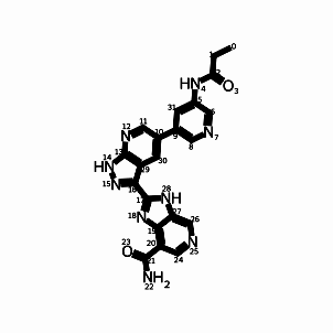 CCC(=O)Nc1cncc(-c2cnc3[nH]nc(-c4nc5c(C(N)=O)cncc5[nH]4)c3c2)c1